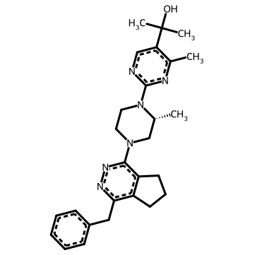 Cc1nc(N2CCN(c3nnc(Cc4ccccc4)c4c3CCC4)C[C@H]2C)ncc1C(C)(C)O